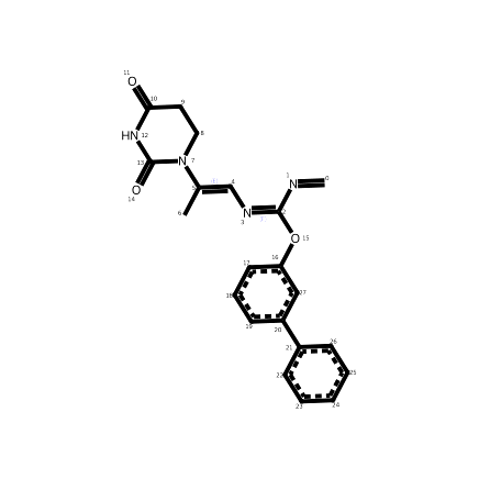 C=N/C(=N\C=C(/C)N1CCC(=O)NC1=O)Oc1cccc(-c2ccccc2)c1